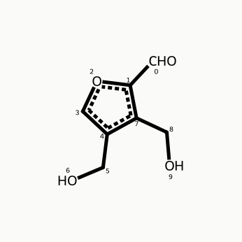 O=Cc1occ(CO)c1CO